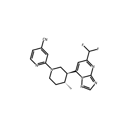 C[C@@H]1CCN(c2cc(C#N)ccn2)C[C@H]1c1cc(C(F)F)nc2ncnn12